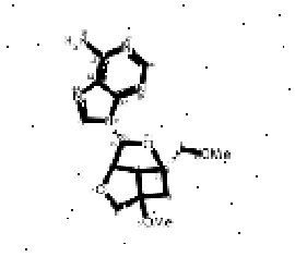 COC[C@]12CC3(OC)COC(C31)[C@H](n1cnc3c(N)ncnc31)O2